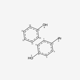 CC(C)c1ccc(O)cc1.Oc1ccccc1